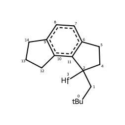 CC(C)(C)C[C]1([Hf])CCc2ccc3c(c21)CCC3